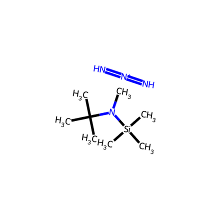 CN(C(C)(C)C)[Si](C)(C)C.N=[N+]=N